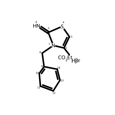 Br.CCOC(=O)c1csc(=N)n1Cc1ccccc1